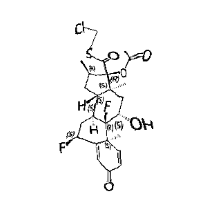 CC(=O)O[C@]1(C(=O)SCCl)[C@H](C)C[C@H]2[C@@H]3C[C@H](F)C4=CC(=O)C=C[C@]4(C)[C@@]3(F)[C@@H](O)C[C@@]21C